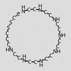 C1CNCCNCCNCCNCCNCCNCCNCCNCCSSC1